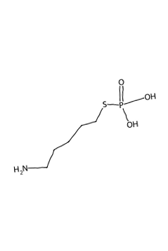 NCCCCCSP(=O)(O)O